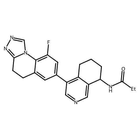 CCC(=O)NC1CCCc2c(-c3cc(F)c4c(c3)CCc3nncn3-4)cncc21